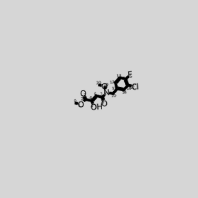 COC(=O)/C(O)=C/C(=O)N(Cc1ccc(F)c(Cl)c1)OC